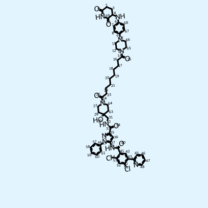 O=C1CCC(Nc2ccc(N3CCN(C(=O)CCCCCCCCC(=O)N4CCC(O)(CNC(=O)c5cc(NC(=O)c6cc(-c7ccccn7)c(Cl)cc6Cl)n(-c6ccccc6)n5)CC4)CC3)cc2)C(=O)N1